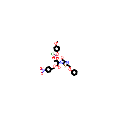 COc1ccc(OP(=O)(Cl)OC(C)=C(C(=O)OCc2ccc([N+](=O)[O-])cc2)N2C(=O)C3N=C(COc4ccccc4)SC32)cc1